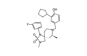 C[C@H]1C[C@]2(CCN1Cc1ccc(O)c(C3CCCC3)c1)CN(C)S(=O)(=O)N2c1cccc(F)c1